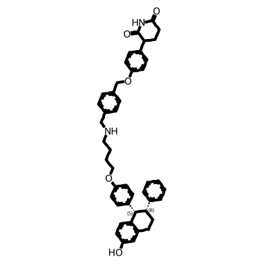 O=C1CCC(c2ccc(OCc3ccc(CNCCCCOc4ccc([C@H]5c6ccc(O)cc6CC[C@H]5c5ccccc5)cc4)cc3)cc2)C(=O)N1